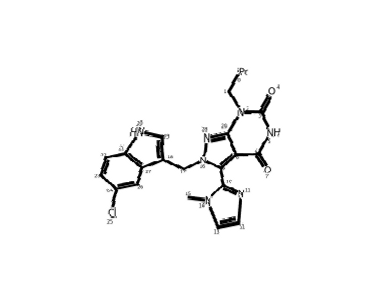 CC(C)Cn1c(=O)[nH]c(=O)c2c(-c3nccn3C)n(Cc3c[nH]c4ccc(Cl)cc34)nc21